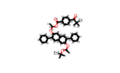 CCC(C)(C)OC(C)Oc1cc2cc(-c3ccccc3)c(OC(C)OC(=O)c3ccc(C(=O)C(C)(C)CC)cc3)cc2cc1-c1ccccc1